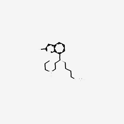 COCCCC[C@H](c1cccc2cc(F)oc12)[C@H]1CCCNC1